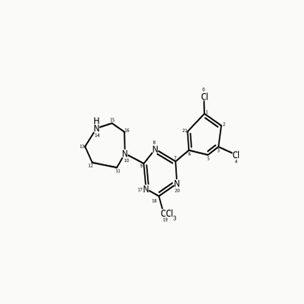 Clc1cc(Cl)cc(-c2nc(N3CCCNCC3)nc(C(Cl)(Cl)Cl)n2)c1